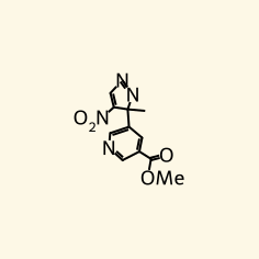 COC(=O)c1cncc(C2(C)N=NC=C2[N+](=O)[O-])c1